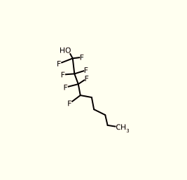 CCCCCC(F)C(F)(F)C(F)(F)C(O)(F)F